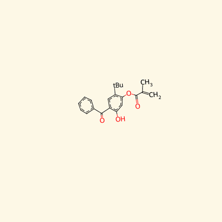 C=C(C)C(=O)Oc1cc(O)c(C(=O)c2ccccc2)cc1C(C)(C)C